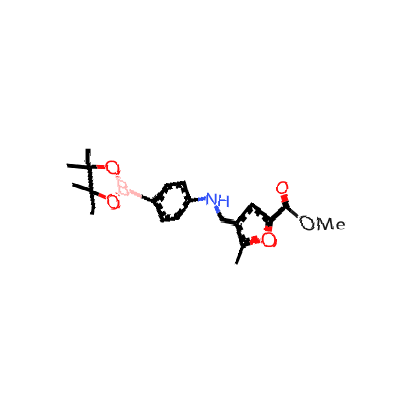 COC(=O)c1cc(CNc2ccc(B3OC(C)(C)C(C)(C)O3)cc2)c(C)o1